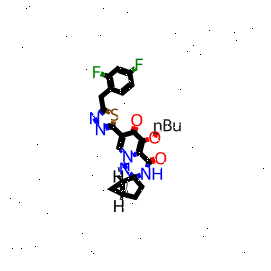 CCCCOc1c2n(cc(-c3nnc(Cc4ccc(F)cc4F)s3)c1=O)N(C)C1(CC[C@@H]3C[C@@H]31)NC2=O